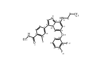 CCNC(=O)c1ccc(-c2cnc3c(NCCC(F)(F)F)cc(Oc4cccc(F)c4F)cn23)cc1C